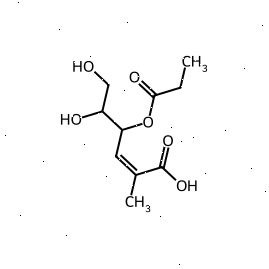 CCC(=O)OC(C=C(C)C(=O)O)C(O)CO